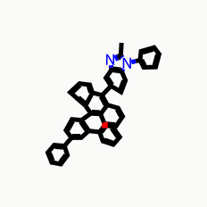 Cc1nc2cc(-c3c4ccccc4c(-c4ccc(-c5ccccc5)cc4-c4ccccc4)c4ccccc34)ccc2n1-c1ccccc1